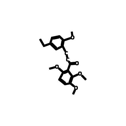 CCc1ccc(OC)c(CCC(=O)c2c(OC)ccc(OC)c2OC)c1